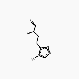 Cn1cnnc1SCC(I)C=S